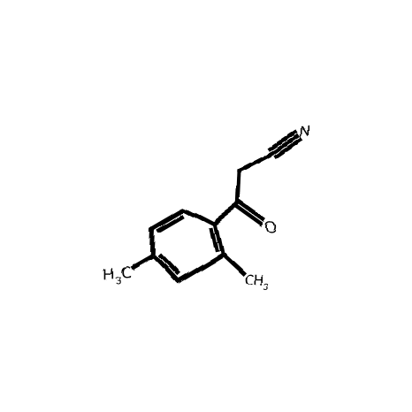 Cc1ccc(C(=O)CC#N)c(C)c1